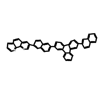 c1ccc2cc(-c3ccc4c5ccc(-c6ccc7cc(-c8cnc9c(ccc%10cccnc%109)c8)ccc7c6)cc5c5ccccc5c4c3)ccc2c1